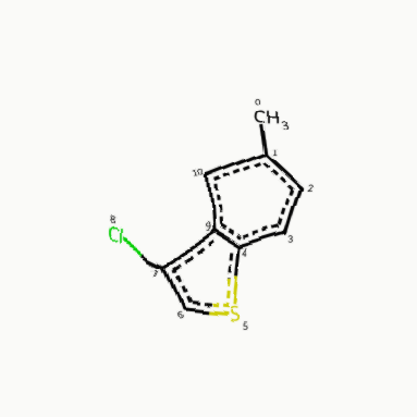 Cc1ccc2scc(Cl)c2c1